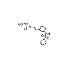 O=C(C=CC=Cc1cccc(NS(=O)(=O)c2ccccc2)c1)NO